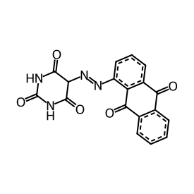 O=C1NC(=O)C(N=Nc2cccc3c2C(=O)c2ccccc2C3=O)C(=O)N1